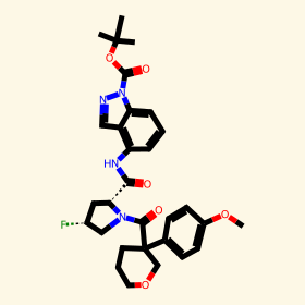 COc1ccc(C2(C(=O)N3C[C@H](F)C[C@@H]3C(=O)Nc3cccc4c3cnn4C(=O)OC(C)(C)C)CCCOC2)cc1